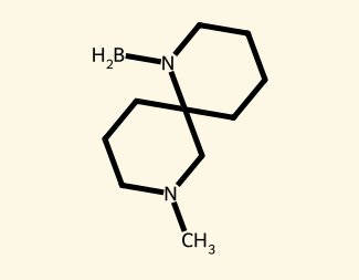 BN1CCCCC12CCCN(C)C2